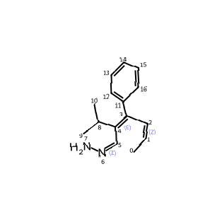 C\C=C/C(=C(\C=N/N)C(C)C)c1ccccc1